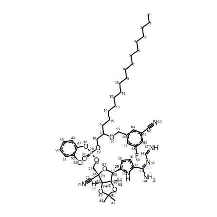 CCCCCCCCCCCCCCCCCC(COP(=O)(OC[C@@]1(C#N)O[C@@H](c2ccc(/C(N)=N\C=N)[nH]2)[C@@H]2OC(C)(C)O[C@@H]21)Oc1ccccc1Cl)OCc1cc(F)cc(C#N)c1